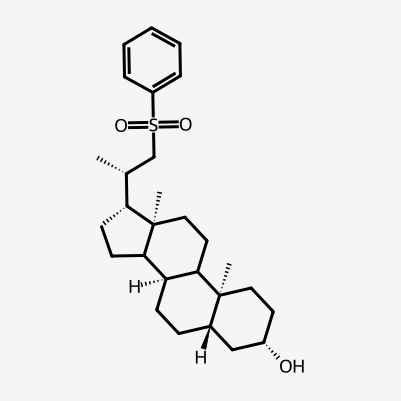 C[C@H](CS(=O)(=O)c1ccccc1)[C@H]1CCC2[C@@H]3CC[C@H]4C[C@@H](O)CC[C@]4(C)C3CC[C@@]21C